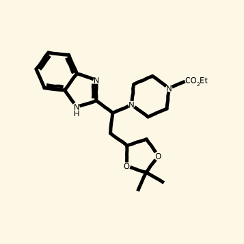 CCOC(=O)N1CCN(C(CC2COC(C)(C)O2)c2nc3ccccc3[nH]2)CC1